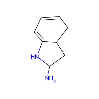 NC1CC2CC=CC=C2N1